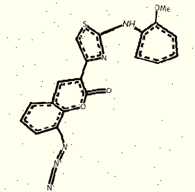 COc1ccccc1Nc1nc(-c2cc3cccc(N=[N+]=[N-])c3oc2=O)cs1